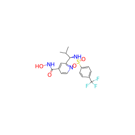 CC(C)[C@@H](NS(=O)(=O)c1ccc(C(F)(F)F)cc1)c1cc(C(=O)NO)ccn1